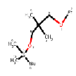 CCOCC(C)(C)CO[Si](C)(C)C(C)(C)C